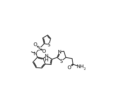 CN(c1cccc2cc(C3=NCC(CC(N)=O)S3)[nH]c12)S(=O)(=O)c1cccs1